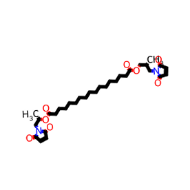 CC(COC(=O)CCCCCCCCCCCCCCCC(=O)OC(C)CN1C(=O)C=CC1=O)CN1C(=O)C=CC1=O